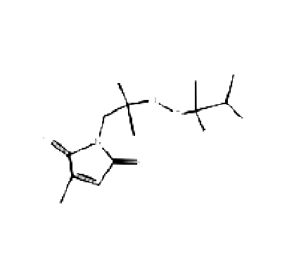 CC1=CC(=O)N(CC(C)(C)OOC(C)(C)C(C)C)C1=O